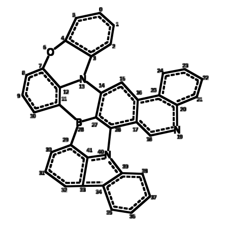 c1ccc2c(c1)Oc1cccc3c1N2c1cc2c(cnc4ccccc42)c2c1B3c1cccc3c4ccccc4n-2c13